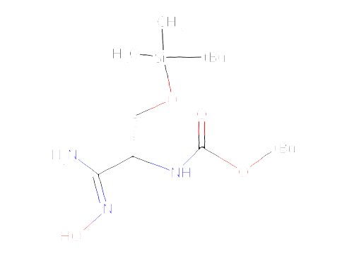 CC(C)(C)OC(=O)N[C@@H](CO[Si](C)(C)C(C)(C)C)/C(N)=N/O